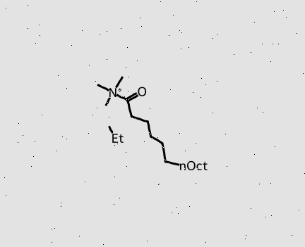 CCC.CCCCCCCCCCCCCC(=O)[N+](C)(C)C